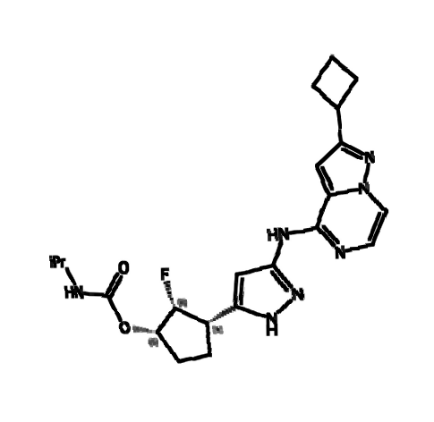 CC(C)NC(=O)O[C@H]1CC[C@@H](c2cc(Nc3nccn4nc(C5CCC5)cc34)n[nH]2)[C@H]1F